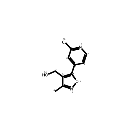 Cc1noc(-c2ccnc(Cl)c2)c1CO